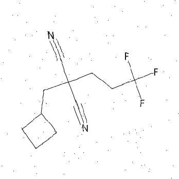 N#CC(C#N)(CCC(F)(F)F)CC1CCC1